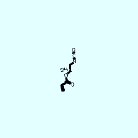 C=CC(=O)OCCN=C=O.[SiH4]